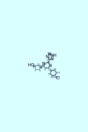 O[C@H]1CCN(c2cc(-c3ccc(Cl)cc3)nc(-c3nn[nH]n3)n2)C1